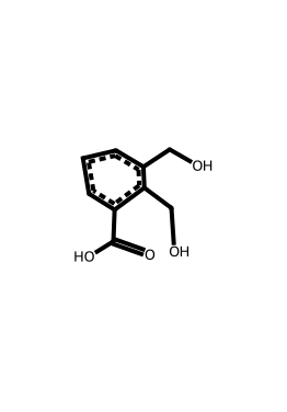 O=C(O)c1cccc(CO)c1CO